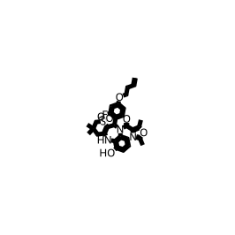 C=CCCOc1ccc(C2C3=C(CC(C)(C)CS3(=O)=O)Nc3c(O)cccc3N2C(=O)c2nc(C)oc2C)c(F)c1